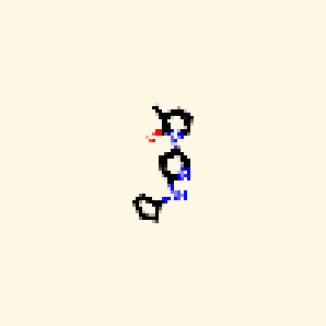 Cc1cccn(-c2ccc(NC3CCCC3)nc2)c1=O